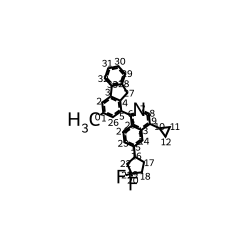 Cc1cc2c(c(-c3ncc(C4CC4)c4cc(C5CCC(F)(F)C5)ccc34)c1)Cc1ccccc1-2